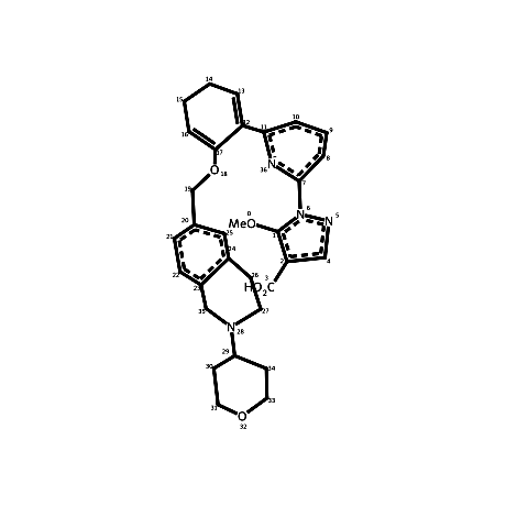 COc1c(C(=O)O)cnn1-c1cccc(C2=CCCC=C2OCc2ccc3c(c2)CCN(C2CCOCC2)C3)n1